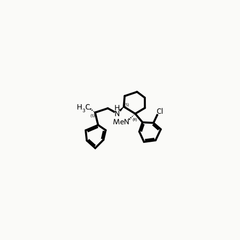 CN[C@@]1(c2ccccc2Cl)CCCC[C@@H]1NC[C@@H](C)c1ccccc1